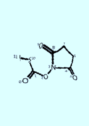 O=C(ON1C(=O)CCC1=O)SI